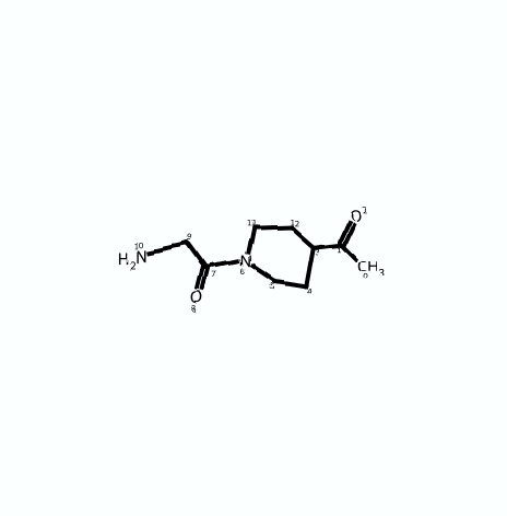 CC(=O)C1CCN(C(=O)CN)CC1